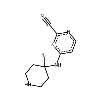 [2H]C1(Nc2ccnc(C#N)n2)CCNCC1